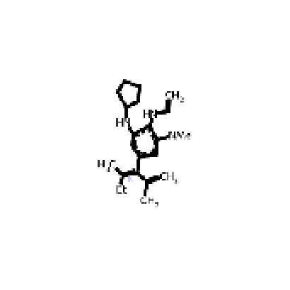 C=CNc1c(NC)cc(/C(C(=C)C)=C(\C)CC)cc1NC1CCCC1